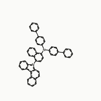 c1ccc(-c2ccc(N(c3ccc(-c4ccccc4)cc3)c3ccc(-n4c5ccccc5c5c6ccccc6ccc54)c4ccccc34)cc2)cc1